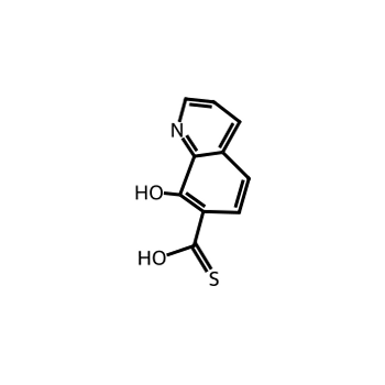 OC(=S)c1ccc2cccnc2c1O